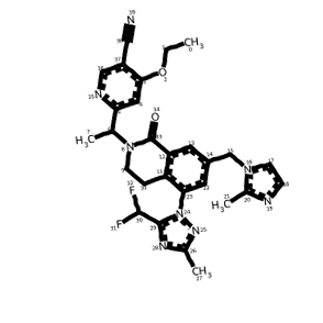 CCOc1cc(C(C)N2CCc3c(cc(Cn4ccnc4C)cc3-n3nc(C)nc3C(F)F)C2=O)ncc1C#N